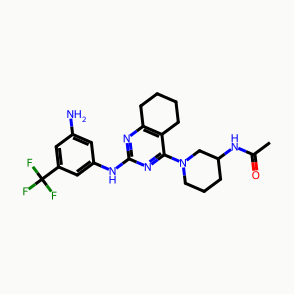 CC(=O)NC1CCCN(c2nc(Nc3cc(N)cc(C(F)(F)F)c3)nc3c2CCCC3)C1